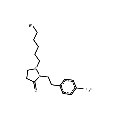 CC(C)CCCCCN1CCC(=O)N1CCc1ccc(C(=O)O)cc1